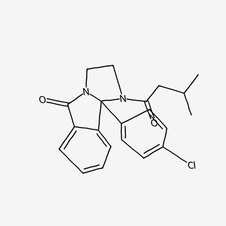 CC(C)CC(=O)N1CCN2C(=O)c3ccccc3C12c1ccc(Cl)cc1